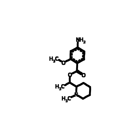 COc1cc(N)ccc1C(=O)OC(C)C1CCCCN1C